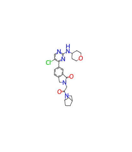 O=C1c2cc(-c3nc(NC4CCOCC4)ncc3Cl)ccc2CN1CC(=O)N1CC2CCC1C2